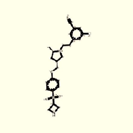 C[C@@H]1C[C@H](COc2ccc(S(=O)(=O)C3CNC3)cc2)CN1CCc1cc(Cl)cc(C#N)c1